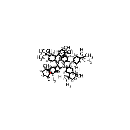 CC(C)(C)c1ccc(N2c3cc4c(cc3B3c5sc6cc7c(cc6c5N(c5ccc(C(C)(C)C)cc5-c5ccccc5)c5cc(C(C)(C)C)cc2c53)C2(C)CCC7(C)CC2)C(C)(C)CCC4(C)C)cc1